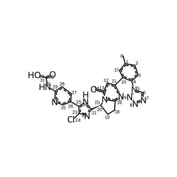 Cc1ccc(-n2cnnn2)c(-c2cc(=O)n3c(n2)CC[C@H]3c2nc(Cl)c(-c3ccc(NC(=O)O)nc3)[nH]2)c1